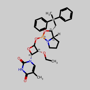 CCO[C@H]1C(O[P@@]2O[C@H](C[Si](C)(c3ccccc3)c3ccccc3)[C@@H]3CCCN32)O[C@H]1n1cc(C)c(=O)[nH]c1=O